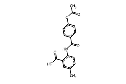 CC(=O)Oc1ccc(C(=O)Nc2ccc(C)cc2C(=O)O)cc1